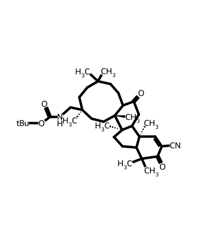 CC1(C)CCC2C(=O)CC3[C@@]4(C)C=C(C#N)C(=O)C(C)(C)C4CC[C@@]3(C)[C@]2(C)CC[C@@](C)(CNC(=O)OC(C)(C)C)CC1